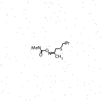 CNC(=O)ON=C(C)CSCC(C)C